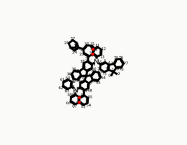 CC1(C)C2=C(C=C(N(c3ccccc3)c3cc4c(cc3C3=CC(C5CC6CCC5C6)=CC#CC3)-c3ccccc3C43c4ccccc4-c4cc(-c5ccccc5)c(N(c5ccccc5)c5ccccc5)cc43)CC2)c2ccccc21